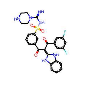 N=C(NS(=O)(=O)c1cccc(C(=O)C(C(=O)c2cc(F)cc(F)c2)=C2Nc3ccccc3N2)c1)N1CCNCC1